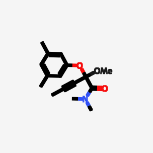 CC#CC(OC)(Oc1cc(C)cc(C)c1)C(=O)N(C)C